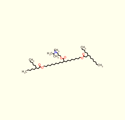 CCCCCCCC(CCCCC)CC(=O)OCCCCCCCCC(CCCCCCCCCCOC(=O)CC(CCCCC)CCCCC)C(=O)OCCCN(C)C(C)C